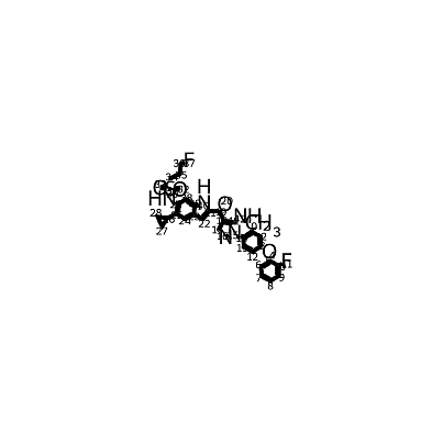 Cc1cc(Oc2ccccc2F)ccc1-n1ncc(C(=O)c2cc3cc(C4CC4)c(NS(=O)(=O)CCCF)cc3[nH]2)c1N